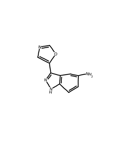 Nc1ccc2[nH]nc(-c3cnco3)c2c1